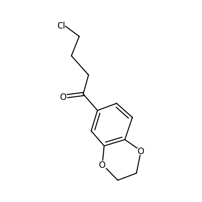 O=C(CCCCl)c1ccc2c(c1)OCCO2